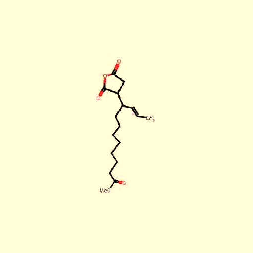 C/C=C/C(CCCCCCCC(=O)OC)C1CC(=O)OC1=O